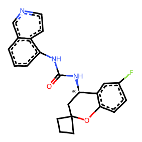 O=C(Nc1cccc2cnccc12)N[C@@H]1CC2(CCC2)Oc2ccc(F)cc21